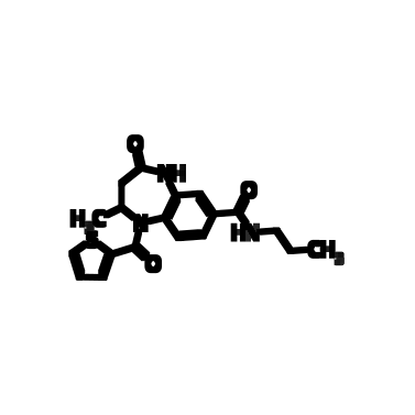 CCCNC(=O)c1ccc2c(c1)NC(=O)CC(C)N2C(=O)c1cccs1